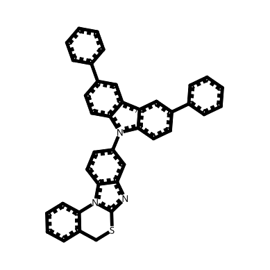 c1ccc(-c2ccc3c(c2)c2cc(-c4ccccc4)ccc2n3-c2ccc3c(c2)nc2n3-c3ccccc3CS2)cc1